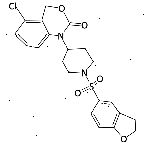 O=C1OCc2c(Cl)cccc2N1C1CCN(S(=O)(=O)c2ccc3c(c2)CCO3)CC1